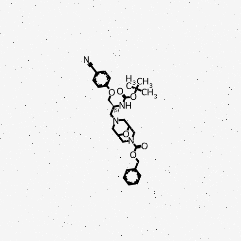 CC(C)(C)OC(=O)N[C@H](COc1ccc(C#N)cc1)CN1CC2CN(C(=O)OCc3ccccc3)CC(C1)O2